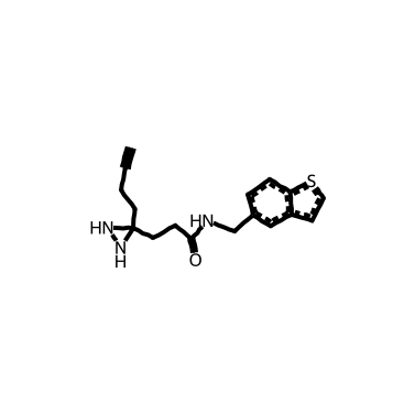 C#CCCC1(CCC(=O)NCc2ccc3sccc3c2)NN1